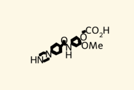 COc1cc(NC(=O)c2ccc(N3CCNCC3)cc2)ccc1OCC(=O)O